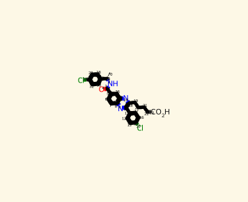 C[C@H](NC(=O)c1ccc2nc(-c3ccc(Cl)cc3)c(CCCCC(=O)O)nc2c1)c1ccc(Cl)cc1